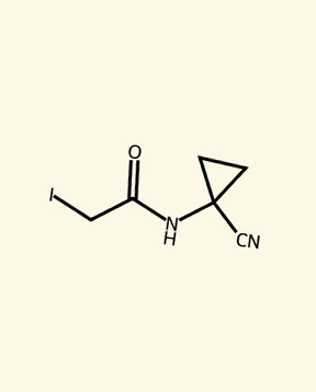 N#CC1(NC(=O)CI)CC1